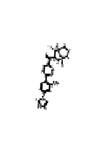 C=C(c1cnc(-c2ccc(-n3ccnc3)cc2O)nn1)C1C[C@@]2(C)CCC[C@](C)(N2)[C@@H]1F